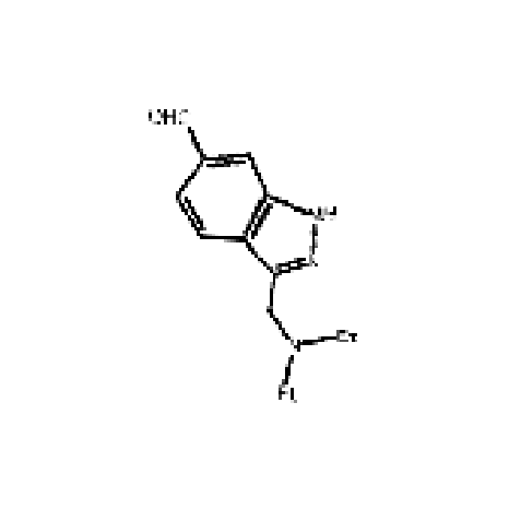 CCN(CC)Cc1n[nH]c2cc(C=O)ccc12